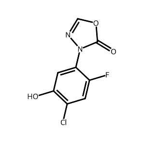 O=c1ocnn1-c1cc(O)c(Cl)cc1F